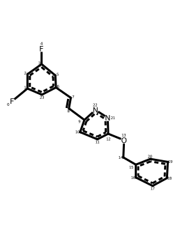 Fc1cc(F)cc(C=Cc2ccc(OCc3ccccc3)nn2)c1